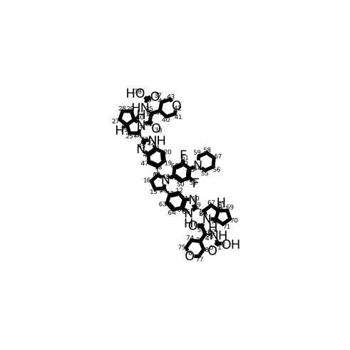 O=C(O)N[C@H](C(=O)N1[C@H](c2nc3cc([C@H]4CC[C@H](c5ccc6[nH]c([C@@H]7C[C@@H]8CCC[C@@H]8N7C(=O)[C@@H](NC(=O)O)C7CCOCC7)nc6c5)N4c4cc(F)c(N5CCCCC5)c(F)c4)ccc3[nH]2)C[C@@H]2CCC[C@@H]21)C1CCOCC1